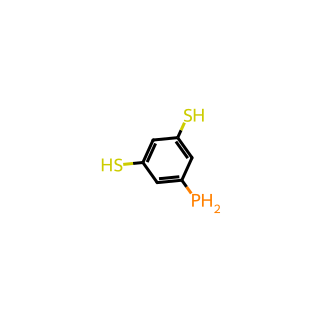 Pc1cc(S)cc(S)c1